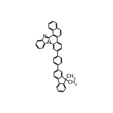 CC1(C)c2ccccc2-c2ccc(-c3ccc(-c4ccc5c6ccc7ccccc7c6c6nc7ccccc7n6c5c4)cc3)cc21